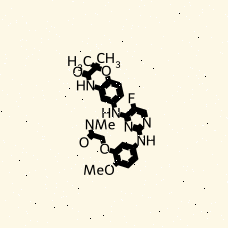 CNC(=O)COc1cc(Nc2ncc(F)c(Nc3ccc4c(c3)NC(=O)C(C)(C)O4)n2)ccc1OC